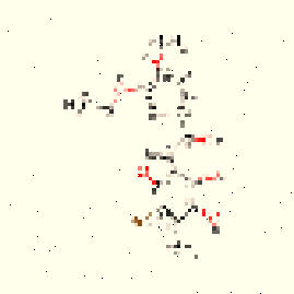 BC1=C(Br)c2occ(C(=O)c3ccc(OC)c(OCC)c3)c2C(=O)C1=O